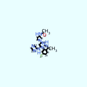 CC(=O)N[C@H]1CCN(c2cc(Nc3cnccn3)nc(N[C@@H](C)c3ccc(F)cc3)n2)C1